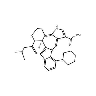 COC(=O)c1c[nH]c2c1=Cn1c(cc3cccc(C4CCCCC4)c31)[C@@H]1C=2CCCC1C(=O)CN(C)C